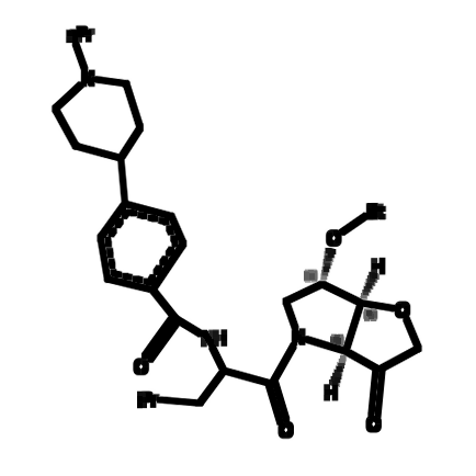 CCCN1CCC(c2ccc(C(=O)NC(CC(C)C)C(=O)N3C[C@H](OCC)[C@H]4OCC(=O)[C@H]43)cc2)CC1